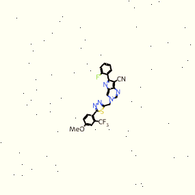 COc1ccc(-c2nnc(Cn3cnc4c(C#N)c(-c5ccccc5F)nc-4c3)s2)c(C(F)(F)F)c1